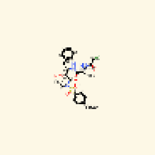 COc1ccc(S(=O)(=O)N(CC(C)C)C[C@@H](O)[C@H](Cc2ccccc2)NC(=O)[C@@H](NC(=O)CCl)C(C)(C)C)cc1